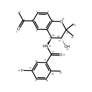 CC(=O)c1ccc2c(c1)[C@H](NC(=O)c1cc(F)ccc1C)[C@@H](O)C(C)(C)O2